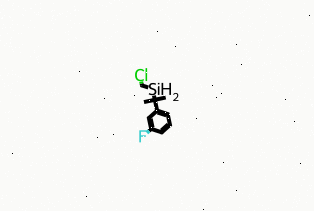 CC(C)([SiH2]CCl)c1cccc(F)c1